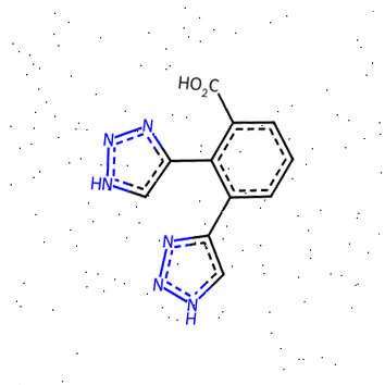 O=C(O)c1cccc(-c2c[nH]nn2)c1-c1c[nH]nn1